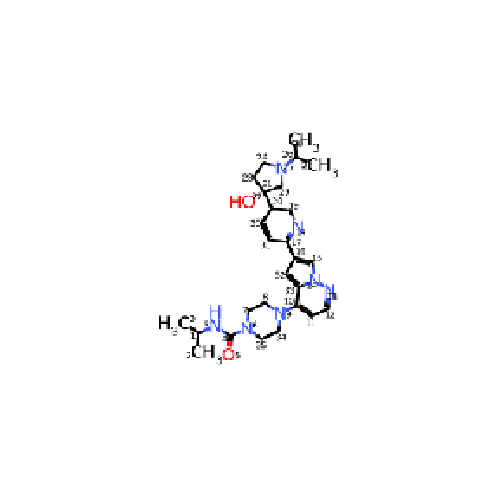 CC(C)NC(=O)N1CCN(c2ccnn3cc(C4=NCC([C@@]5(O)CCN(C(C)C)C5)C=C4)cc23)CC1